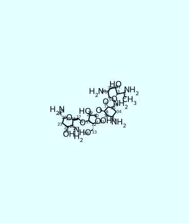 C[C@H](N)[C@H]1O[C@H](O[C@H]2[C@H](O[C@@H]3O[C@H](CO)[C@@H](O/C=C4/O[C@@H](CN)C[C@H](O)[C@H]4N)[C@H]3O)[C@@H](O)[C@H](N)C[C@@H]2N)[C@H](N)C[C@@H]1O